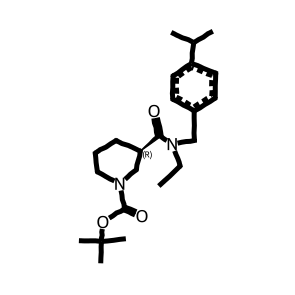 CCN(Cc1ccc(C(C)C)cc1)C(=O)[C@@H]1CCCN(C(=O)OC(C)(C)C)C1